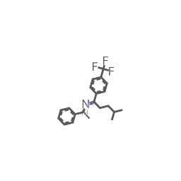 CC(C)CC/C(=N\[C@@H](C)c1ccccc1)c1ccc(C(F)(F)F)cc1